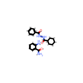 NC(=O)c1ccccc1N.O=C(NNC(=O)C1CCCCC1)c1ccccc1